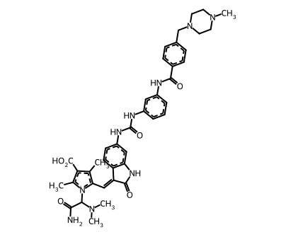 Cc1c(C(=O)O)c(C)n(C(C(N)=O)N(C)C)c1C=C1C(=O)Nc2cc(NC(=O)Nc3cccc(NC(=O)c4ccc(CN5CCN(C)CC5)cc4)c3)ccc21